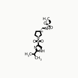 C=CS(=O)(=O)NC[C@H]1CCN(S(=O)(=O)c2c[nH]c(C(C)C)n2)C1